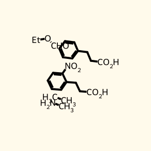 CC.CCOC=O.CN.O=C(O)CCc1ccccc1.O=C(O)CCc1ccccc1[N+](=O)[O-]